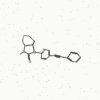 CN1C(=O)N(c2ccc(C#Cc3ccccc3)cn2)C2CCCCC21